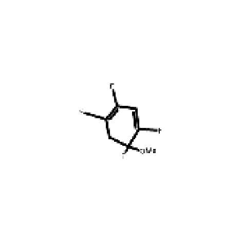 COC1(F)[CH]C(F)=C(F)C=C1F